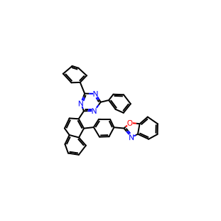 c1ccc(-c2nc(-c3ccccc3)nc(-c3ccc4ccccc4c3-c3ccc(-c4nc5ccccc5o4)cc3)n2)cc1